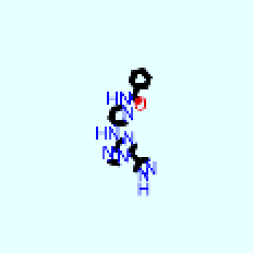 O=C(Nc1ccc(Nc2ncc(-c3cn[nH]c3)n3ccnc23)cn1)c1ccccc1